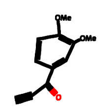 C#CC(=O)c1ccc(OC)c(OC)c1